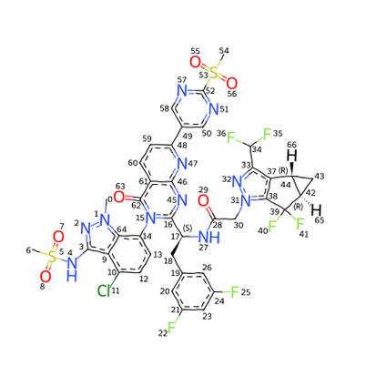 Cn1nc(NS(C)(=O)=O)c2c(Cl)ccc(-n3c([C@H](Cc4cc(F)cc(F)c4)NC(=O)Cn4nc(C(F)F)c5c4C(F)(F)[C@@H]4C[C@@H]54)nc4nc(-c5cnc(S(C)(=O)=O)nc5)ccc4c3=O)c21